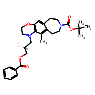 Cc1c2c(cc3c1N(C[C@@H](O)COC(=O)c1ccccc1)CCO3)CCN(C(=O)OC(C)(C)C)CC2